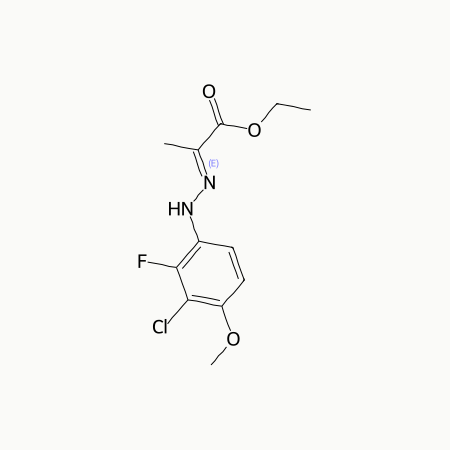 CCOC(=O)/C(C)=N/Nc1ccc(OC)c(Cl)c1F